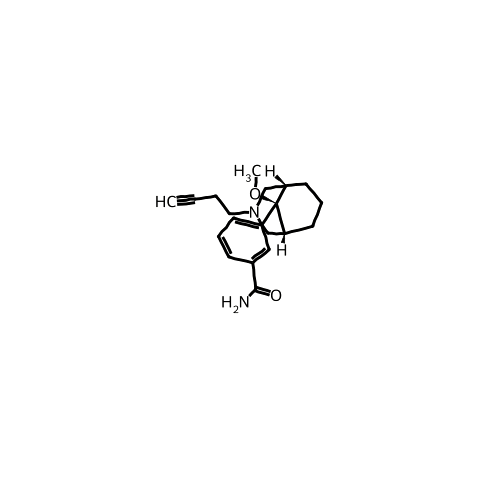 C#CCCN1C[C@H]2CCC[C@@H](C1)[C@@]2(OC)c1cccc(C(N)=O)c1